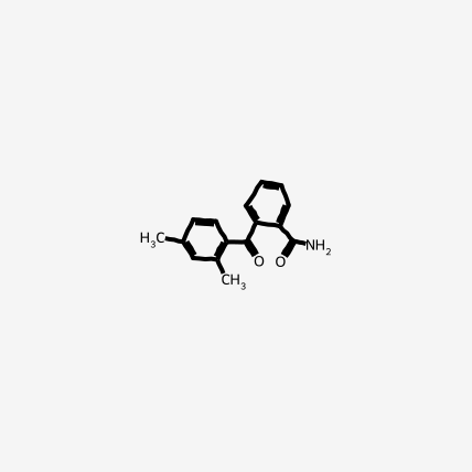 Cc1ccc(C(=O)c2ccccc2C(N)=O)c(C)c1